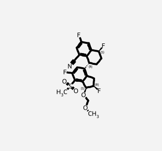 COCO[C@H]1c2c(c([C@H]3CC[C@H](F)c4cc(F)cc(C#N)c43)cc(F)c2S(C)(=O)=O)C[C@H]1F